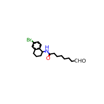 O=CCCCCCCC(=O)NC1CCCc2cc(Br)ccc21